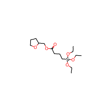 CCO[Si](CCCC(=O)OCC1CCCO1)(OCC)OCC